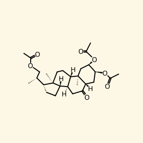 CC(=O)OC[C@@H](C)[C@H]1CC[C@H]2[C@@H]3CC(=O)[C@H]4C[C@H](OC(C)=O)[C@H](OC(C)=O)C[C@]4(C)[C@H]3CC[C@]12C